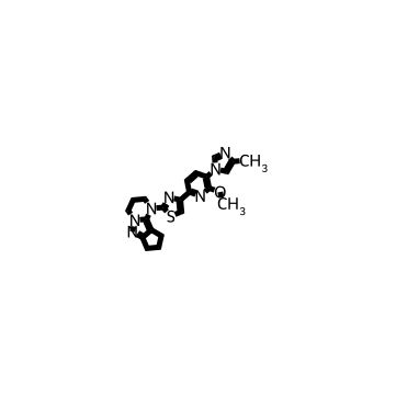 COc1nc(-c2csc(N3CCCn4nc5c(c43)CCC5)n2)ccc1-n1cnc(C)c1